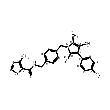 Cc1ncsc1C(=O)NCc1ccc(Cn2c(C)c(C#N)c(-c3ccc(C#N)cc3)c2C)cc1